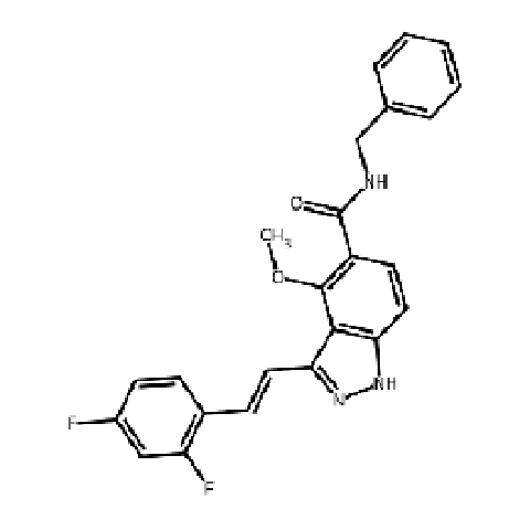 COc1c(C(=O)NCc2ccccc2)ccc2[nH]nc(C=Cc3ccc(F)cc3F)c12